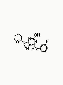 Oc1nc(Nc2cccc(F)c2)c2ncn(C3CCCCO3)c2n1